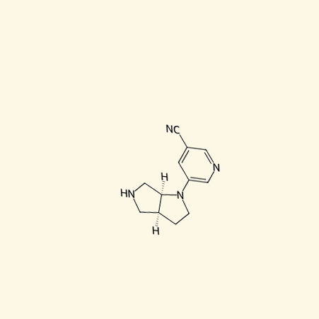 N#Cc1cncc(N2CC[C@H]3CNC[C@H]32)c1